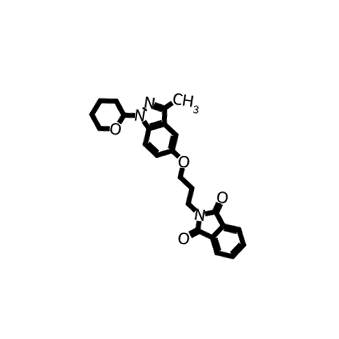 Cc1nn(C2CCCCO2)c2ccc(OCCCN3C(=O)c4ccccc4C3=O)cc12